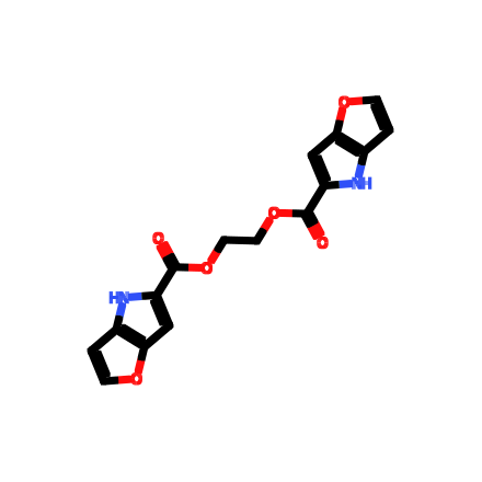 O=C(OCCOC(=O)c1cc2occc2[nH]1)c1cc2occc2[nH]1